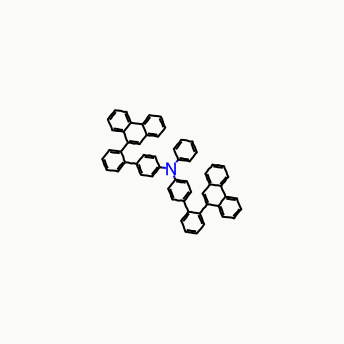 c1ccc(N(c2ccc(-c3ccccc3-c3cc4ccccc4c4ccccc34)cc2)c2ccc(-c3ccccc3-c3cc4ccccc4c4ccccc34)cc2)cc1